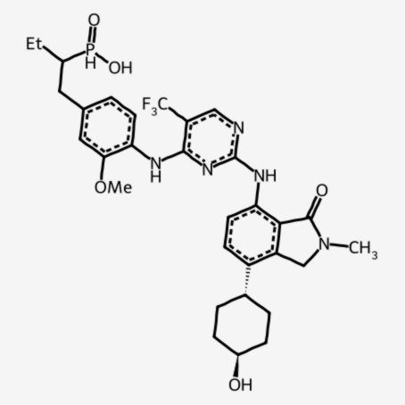 CCC(Cc1ccc(Nc2nc(Nc3ccc([C@H]4CC[C@H](O)CC4)c4c3C(=O)N(C)C4)ncc2C(F)(F)F)c(OC)c1)[PH](=O)O